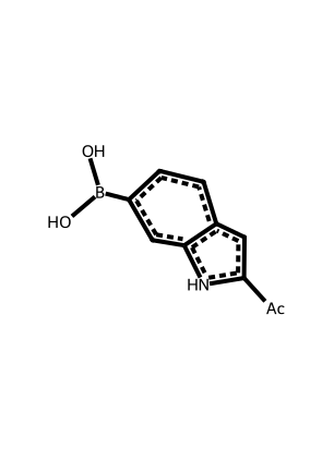 CC(=O)c1cc2ccc(B(O)O)cc2[nH]1